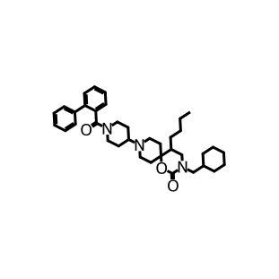 CCCCC1CN(CC2CCCCC2)C(=O)OC12CCN(C1CCN(C(=O)c3ccccc3-c3ccccc3)CC1)CC2